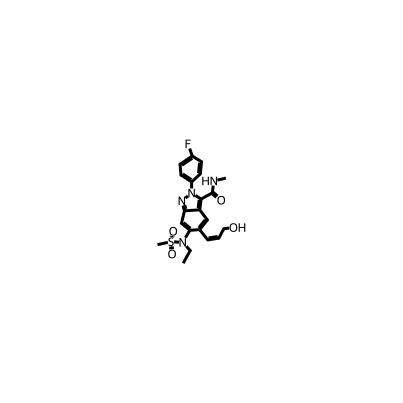 CCN(c1cc2nn(-c3ccc(F)cc3)c(C(=O)NC)c2cc1/C=C\CO)S(C)(=O)=O